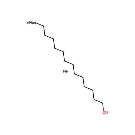 CCCCCCCCCCCCCCCCCCCCCCO.[Na]